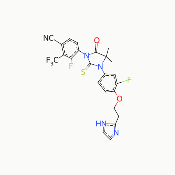 CC1(C)C(=O)N(c2ccc(C#N)c(C(F)(F)F)c2F)C(=S)N1c1ccc(OCCc2ncc[nH]2)c(F)c1